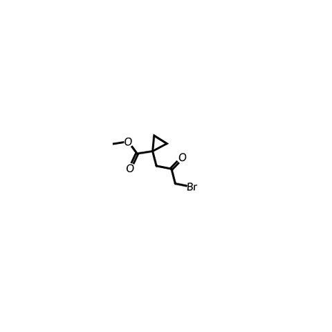 COC(=O)C1(CC(=O)CBr)CC1